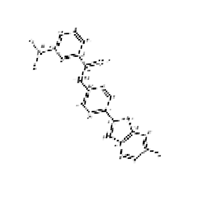 Cc1ccc2nc(-c3ccc(NC(=O)c4cccc(N(C)C)c4)cc3)sc2c1